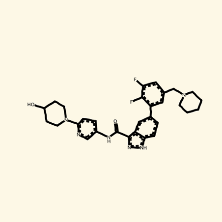 O=C(Nc1ccc(N2CCC(O)CC2)nc1)c1n[nH]c2ccc(-c3cc(CN4CCCCC4)cc(F)c3F)cc12